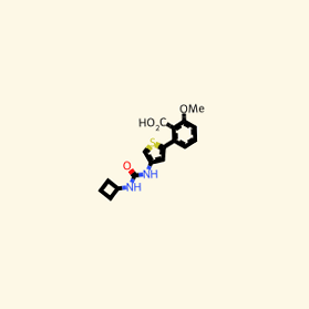 COc1cccc(-c2cc(NC(=O)NC3CCC3)cs2)c1C(=O)O